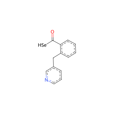 O=C([SeH])c1ccccc1Cc1cccnc1